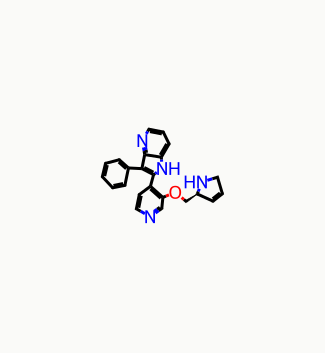 C1=C[C@@H](COc2cnccc2-c2[nH]c3cccnc3c2-c2ccccc2)NC1